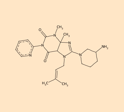 CC(C)=CCN1C(N2CCCC(N)C2)=NC2(C)C1C(=O)N(c1ccccn1)C(=O)N2C